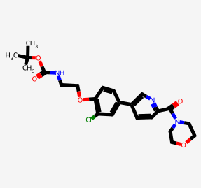 CC(C)(C)OC(=O)NCCOc1ccc(-c2ccc(C(=O)N3CCOCC3)nc2)cc1Cl